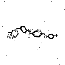 CC1CN(Cc2ccc(NC(=O)c3ccc(COc4ccc(F)cc4)nc3)cc2)CCN1